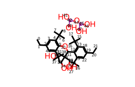 CCc1cc(C(C)(C)C)c(OC(c2c(C(C)(C)C)cc(CC)cc2C(C)(C)C)C(CO)(CO)CO)c(C(C)(C)C)c1.OP(O)OP(O)O